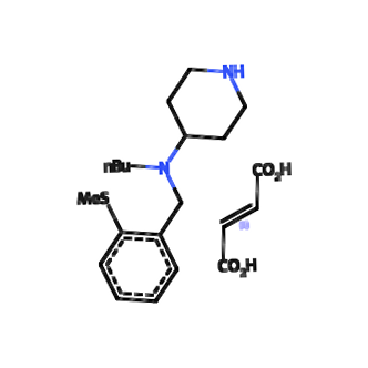 CCCCN(Cc1ccccc1SC)C1CCNCC1.O=C(O)/C=C/C(=O)O